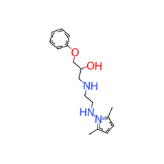 Cc1ccc(C)n1NCCNCC(O)COc1ccccc1